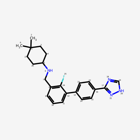 CC1(C)CCC(NCc2cccc(-c3ccc(-c4nc[nH]n4)cc3)c2F)CC1